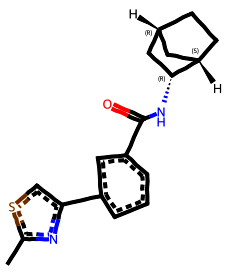 Cc1nc(-c2cccc(C(=O)N[C@@H]3C[C@@H]4CC[C@H]3C4)c2)cs1